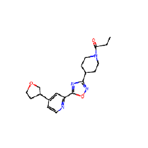 CCC(=O)N1CCC(c2noc(-c3cc(C4CCOC4)ccn3)n2)CC1